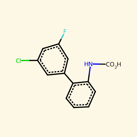 O=C(O)Nc1ccccc1-c1cc(F)cc(Cl)c1